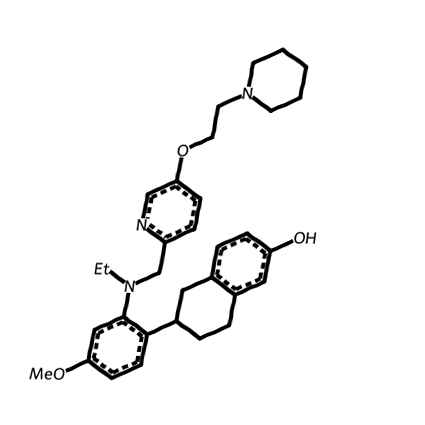 CCN(Cc1ccc(OCCN2CCCCC2)cn1)c1cc(OC)ccc1C1CCc2cc(O)ccc2C1